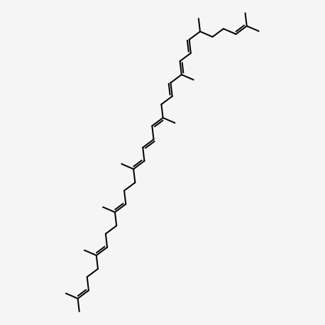 CC(C)=CCC/C(C)=C/CC/C(C)=C/CC/C(C)=C/C=C/C=C(\C)C/C=C/C(C)=C/C=C/C(C)CCC=C(C)C